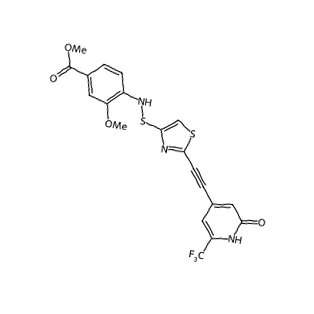 COC(=O)c1ccc(NSc2csc(C#Cc3cc(C(F)(F)F)[nH]c(=O)c3)n2)c(OC)c1